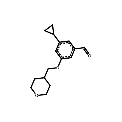 O=Cc1cc(OCC2CCOCC2)cc(C2CC2)c1